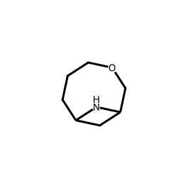 C1COCC2CC(C1)N2